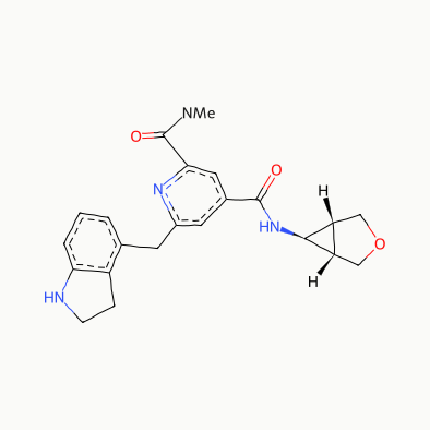 CNC(=O)c1cc(C(=O)N[C@H]2[C@@H]3COC[C@@H]32)cc(Cc2cccc3c2CCN3)n1